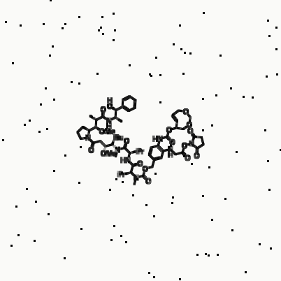 CC[C@H](C)[C@@H]([C@@H](CC(=O)N1CCC[C@H]1[C@H](OC)[C@@H](C)C(=O)N[C@H](C)[C@@H](O)c1ccccc1)OC)N(C)C(=O)[C@H](NC(=O)[C@H](C(C)C)N(C)C(=O)OCc1ccc(NC(=O)OC2/C=C/COCOC2)c(NCC(=O)ON2C(=O)CCC2=O)c1)C(C)C